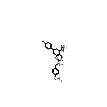 Cc1ccc(CNc2ncc3c(n2)CC(C2=CCC(F)C=C2)C/C3=N\O)cc1